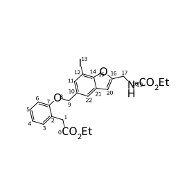 CCOC(=O)Cc1ccccc1OCc1cc(I)c2oc(CNC(=O)OCC)cc2c1